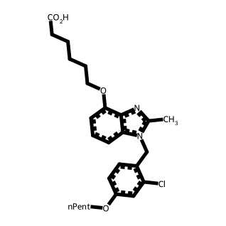 CCCCCOc1ccc(Cn2c(C)nc3c(OCCCCCC(=O)O)cccc32)c(Cl)c1